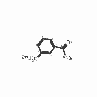 CCOC(=O)c1cccc(C(=O)OCC(C)C)c1